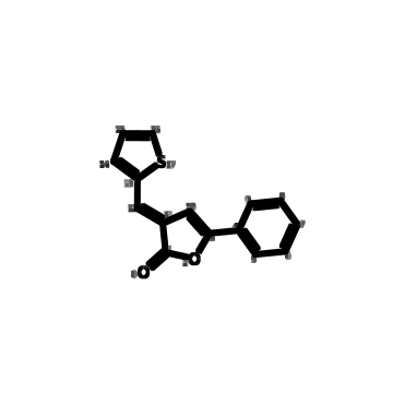 O=C1OC(c2ccccc2)=CC1=Cc1cccs1